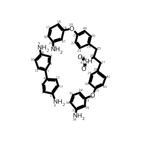 Nc1ccc(-c2ccc(N)cc2)cc1.Nc1cccc(Oc2ccc(CC(Cc3ccc(Oc4cccc(N)c4)cc3)[SH](=O)=O)cc2)c1